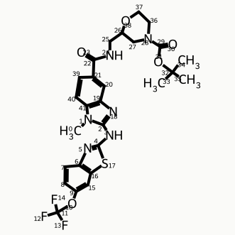 Cn1c(Nc2nc3ccc(OC(F)(F)F)cc3s2)nc2cc(C(=O)NCC3CN(C(=O)OC(C)(C)C)CCO3)ccc21